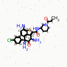 C=CC(=O)N1CCCC(NC(=O)c2sc3c(N)ccc4c3c2C(N)C(=O)C4(N)c2ccc(Cl)cc2)C1